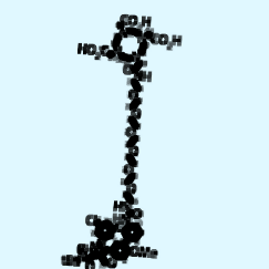 COc1cc2c(cc1-c1cccc(NC(=O)NCCOCCOCCOCCOCCOCCOCCNC(=O)CN3CCN(CC(=O)O)CCN(CC(=O)O)CCN(CC(=O)O)CC3)c1)-c1c(c(C(=O)N(C)C(C)(C)C)nn1-c1cc(Cl)cc(Cl)c1)CO2